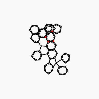 c1ccc(-c2cccc3cccc(-c4ccccc4N(c4ccccc4-c4cccc5c4-c4ccccc4C5(c4ccccc4)c4ccccc4)c4ccccc4-c4cccc5oc6ccccc6c45)c23)cc1